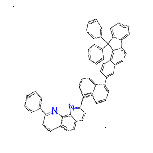 c1ccc(-c2ccc3ccc4ccc(-c5cccc6c(-c7ccc8c9c(ccc8c7)-c7ccccc7C9(c7ccccc7)c7ccccc7)cccc56)nc4c3n2)cc1